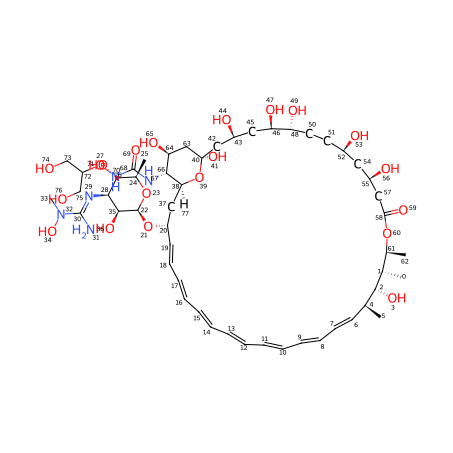 C[C@@H]1[C@H](O)[C@@H](C)/C=C/C=C/C=C/C=C/C=C/C=C/C=C/[C@H](O[C@@H]2O[C@H](C)[C@@H](O)[C@H](/N=C(\N)N(C)O)[C@@H]2O)C[C@@H]2O[C@](O)(C[C@@H](O)C[C@@H](O)[C@H](O)CC[C@@H](O)C[C@@H](O)CC(=O)O[C@H]1C)C[C@H](O)[C@H]2NC(=O)NOC(CO)CO